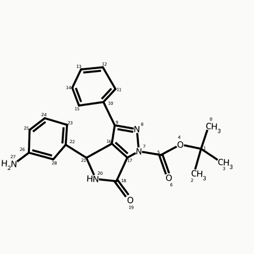 CC(C)(C)OC(=O)n1nc(-c2ccccc2)c2c1C(=O)NC2c1cccc(N)c1